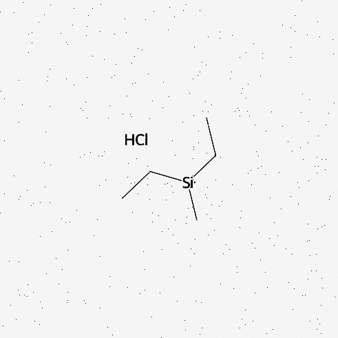 CC[Si](C)CC.Cl